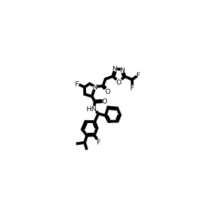 CC(C)c1ccc(C(NC(=O)C2CC(F)CN2C(=O)Cc2nnc(C(F)F)o2)c2ccccc2)cc1F